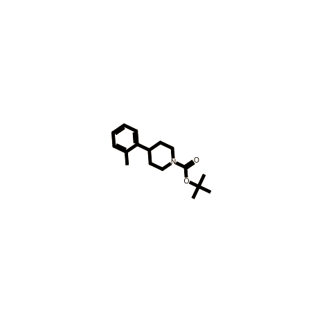 Cc1ccccc1C1CCN(C(=O)OC(C)(C)C)CC1